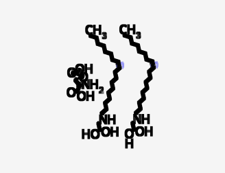 CCCCCCCC/C=C\CCCCCCCCCNCC(O)O.CCCCCCCC/C=C\CCCCCCCCCNCC(O)O.N[C@H](CS(=O)(=O)O)C(=O)O